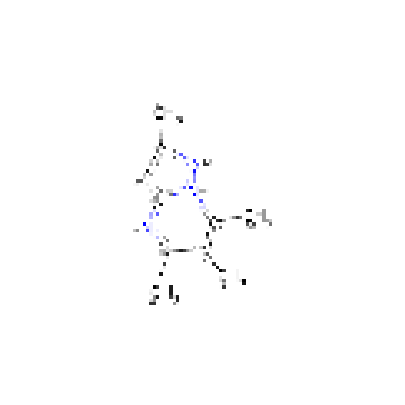 Cc1cc2nc(C)c(C)c(C)n2n1